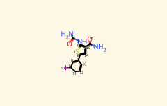 NC(=O)Nc1sc(C2=CC(I)CC=C2)cc1C(N)=O